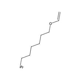 C=COCCCCCCC(C)C